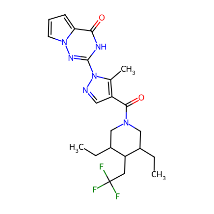 CCC1CN(C(=O)c2cnn(-c3nn4cccc4c(=O)[nH]3)c2C)CC(CC)C1CC(F)(F)F